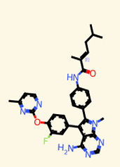 C/C(=C\CC(C)C)C(=O)Nc1ccc(-c2c(-c3ccc(Oc4nccc(C)n4)c(F)c3)c3c(N)ncnc3n2C)cc1